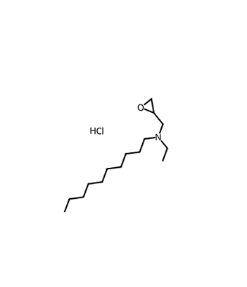 CCCCCCCCCCN(CC)CC1CO1.Cl